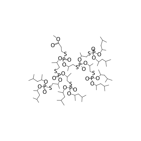 COC(=O)CCSP(=O)(OC(C)CSP(=O)(OC(C)CSP(=O)(OC(C)CC(C)C)OC(C)CC(C)C)OC(C)CSP(=O)(OC(C)CC(C)C)OC(C)CC(C)C)OC(C)CSP(=O)(OC(C)CSP(=O)(OC(C)CC(C)C)OC(C)CC(C)C)OC(C)CSP(=O)(OC(C)CC(C)C)OC(C)CC(C)C